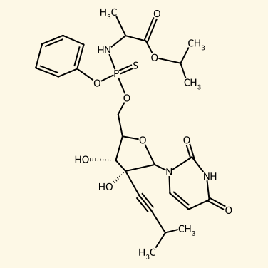 CC(C)C#C[C@]1(O)C(n2ccc(=O)[nH]c2=O)OC(COP(=S)(NC(C)C(=O)OC(C)C)Oc2ccccc2)[C@H]1O